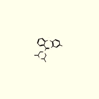 CC1CN(C2=Nc3cc(Cl)ccc3Nc3ccccc32)CC(C)N1